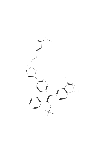 CN(C)C(=O)/C=C/CN[C@H]1CCN(c2ccc(/C(=C(/CC(F)(F)F)c3ccccc3)c3ccc4[nH]nc(F)c4c3)cn2)C1